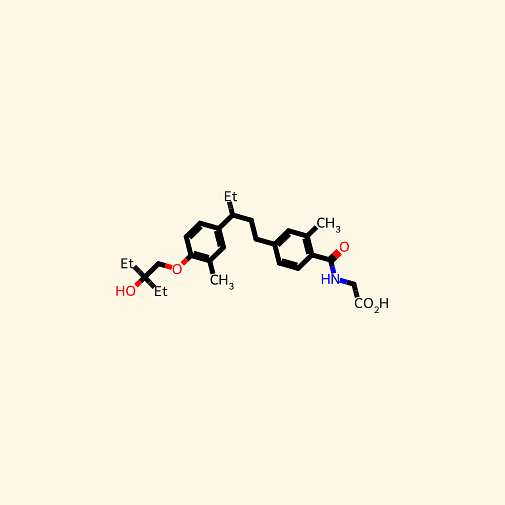 CCC(CCc1ccc(C(=O)NCC(=O)O)c(C)c1)c1ccc(OCC(O)(CC)CC)c(C)c1